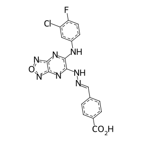 O=C(O)c1ccc(C=NNc2nc3nonc3nc2Nc2ccc(F)c(Cl)c2)cc1